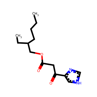 CCCCC(CC)COC(=O)CC(=O)c1c[nH]cn1